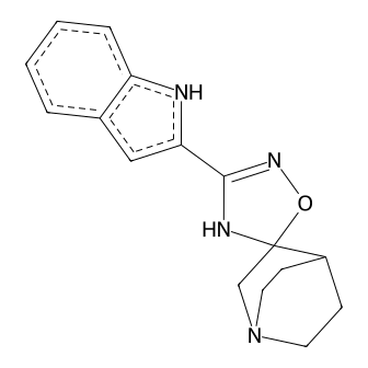 c1ccc2[nH]c(C3=NOC4(CN5CCC4CC5)N3)cc2c1